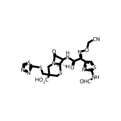 N#CCON=C(C(=O)NC1C(=O)N2CC(CSc3nncs3)(C(=O)O)CS[C@H]12)c1csc(NC=O)n1